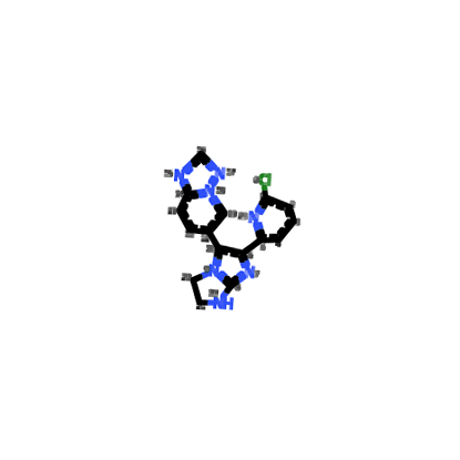 Clc1cccc(-c2nc3n(c2-c2ccc4ncnn4c2)CCN3)n1